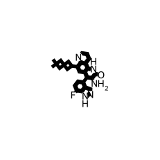 CC1(C)CC2(CC(c3cc4c(-c5ccc(F)c6[nH]ncc56)c(N)c(=O)[nH]c4c4cccnc34)C2)C1